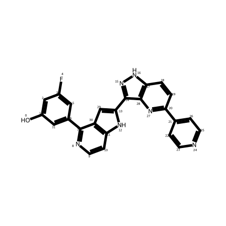 Oc1cc(F)cc(-c2nccc3[nH]c(-c4n[nH]c5ccc(-c6ccncc6)nc45)cc23)c1